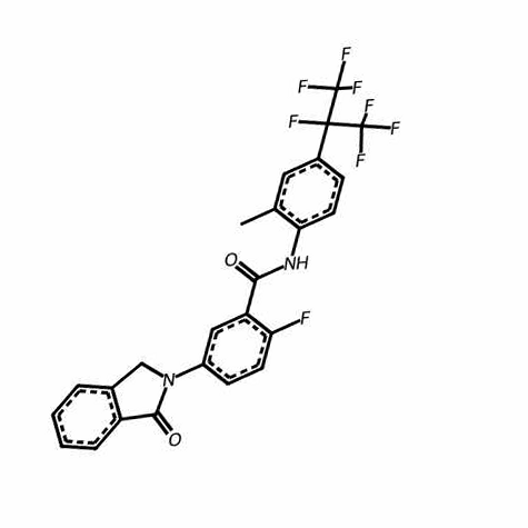 Cc1cc(C(F)(C(F)(F)F)C(F)(F)F)ccc1NC(=O)c1cc(N2Cc3ccccc3C2=O)ccc1F